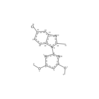 COc1cc(OC)nc(-n2c(C)nc3cc(Cl)ccc32)n1